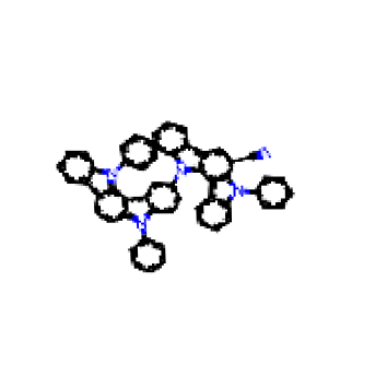 N#Cc1cc2c3ccccc3n(-c3ccc4c(c3)c3c(ccc5c6ccccc6n(-c6ccccc6)c53)n4-c3ccccc3)c2c2c3ccccc3n(-c3ccccc3)c12